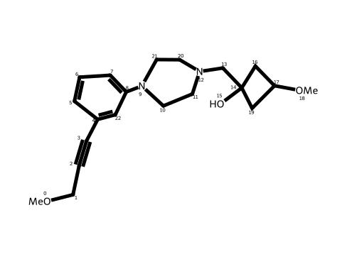 COCC#Cc1cccc(N2CCN(CC3(O)CC(OC)C3)CC2)c1